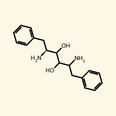 NC(Cc1ccccc1)C(O)C(O)[C@@H](N)Cc1ccccc1